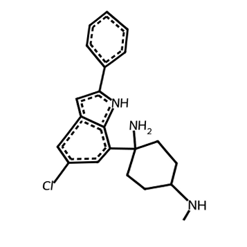 CNC1CCC(N)(c2cc(Cl)cc3cc(-c4ccccc4)[nH]c23)CC1